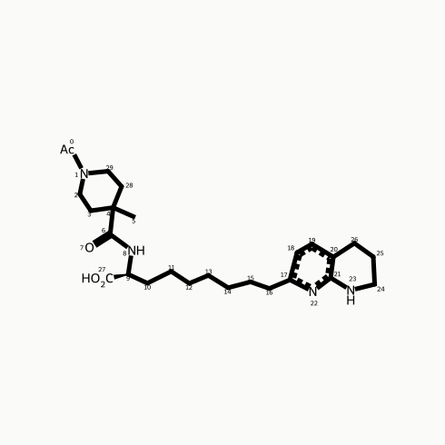 CC(=O)N1CCC(C)(C(=O)N[C@@H](CCCCCCCc2ccc3c(n2)NCCC3)C(=O)O)CC1